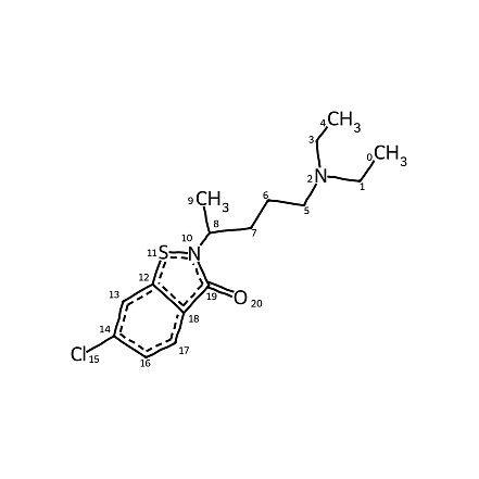 CCN(CC)CCCC(C)n1sc2cc(Cl)ccc2c1=O